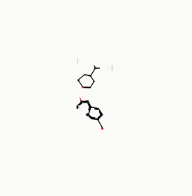 CC(C)C1CCC(Oc2ccc3cc(C=O)ccc3c2)CC1